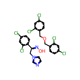 Clc1ccc(COCc2ccc(Cl)cc2Cl)c(Cl)c1.ON=C(Cn1ccnc1)c1ccc(Cl)cc1Cl